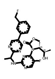 CC(Nc1ncc(F)c(N2C(=O)OC[C@@H]2[C@@H](C)O)n1)c1ncc(-c2cccc(CF)c2)cn1